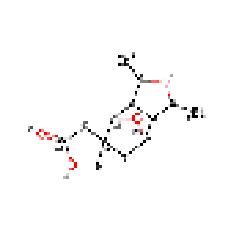 CCC1OC(CC)C2C1C1CC3(COC(=O)C3)C2O1